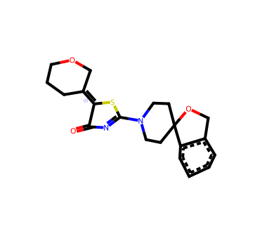 O=C1N=C(N2CCC3(CC2)OCc2ccccc23)S/C1=C1/CCCOC1